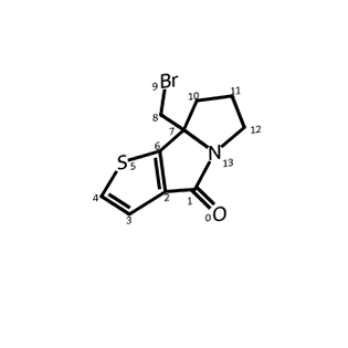 O=C1c2ccsc2C2(CBr)CCCN12